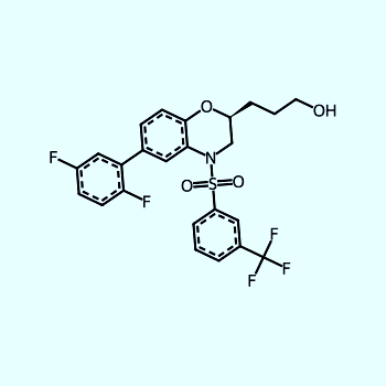 O=S(=O)(c1cccc(C(F)(F)F)c1)N1C[C@H](CCCO)Oc2ccc(-c3cc(F)ccc3F)cc21